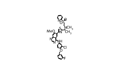 COc1cc2ncnc(Nc3ccc(OCc4cccc(F)c4)c(Cl)c3)c2cc1-c1csc(C(C)N(C)CCS(=O)(=O)c2ccccn2)n1